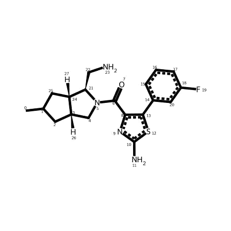 CC1C[C@H]2CN(C(=O)c3nc(N)sc3-c3cccc(F)c3)[C@H](CN)[C@H]2C1